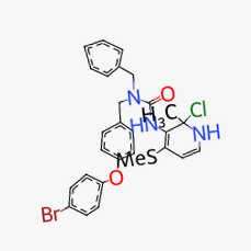 CSC1=C(NC(=O)N(Cc2ccccc2)Cc2ccc(Oc3ccc(Br)cc3)cc2)C(C)(Cl)NC=C1